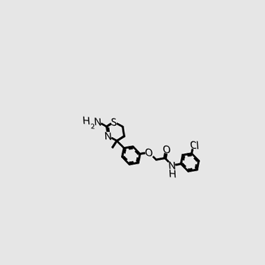 CC1(c2cccc(OCC(=O)Nc3cccc(Cl)c3)c2)CCSC(N)=N1